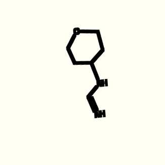 N=CNC1CCOCC1